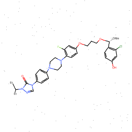 CCC(CC)n1ncn(-c2ccc(N3CCN(c4ccc(OCCCO[C@H](OC)c5ccc(O)cc5Cl)cc4F)CC3)cc2)c1=O